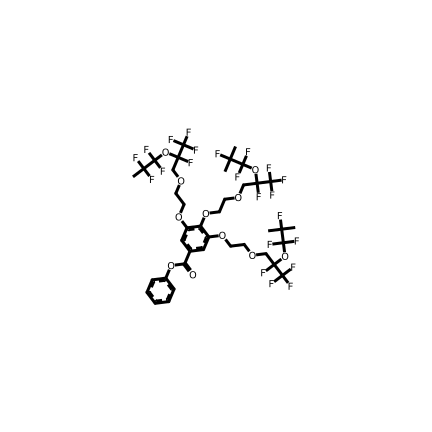 CC(C)(F)C(F)(F)OC(F)(COCCOc1cc(C(=O)Oc2ccccc2)cc(OCCOCC(F)(OC(F)(F)C(C)(F)F)C(F)(F)F)c1OCCOCC(F)(OC(F)(F)C(C)(C)F)C(F)(F)F)C(F)(F)F